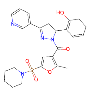 Cc1oc(S(=O)(=O)N2CCCCC2)cc1C(=O)N1N=C(c2cccnc2)CC1C1=C(O)CCC=C1